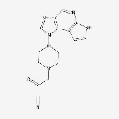 N#CC(=O)CN1CCN(n2cnc3cnc4[nH]ccc4c32)CC1